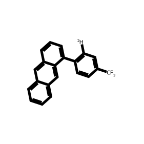 [2H]c1cc(C(F)(F)F)ccc1-c1cccc2cc3ccccc3cc12